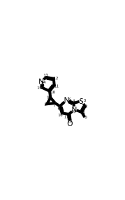 Cc1csc2nc(C3CC3c3cccnc3)cc(=O)n12